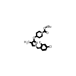 Cc1cn(Cc2ccc(Cl)cc2F)nc1OC1CCN(C(=O)OC(C)(C)C)CC1